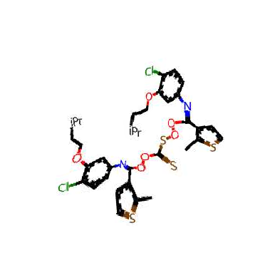 Cc1sccc1C(=Nc1ccc(Cl)c(OCCC(C)C)c1)OOSC(=S)OOC(=Nc1ccc(Cl)c(OCCC(C)C)c1)c1ccsc1C